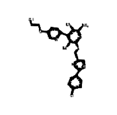 [C-]#[N+]c1c(N)nc(SCc2csc(-c3ccc(Cl)cc3)n2)c(C#N)c1-c1ccc(OCCO)cn1